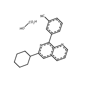 N#Cc1cccc(-c2nc(C3CCCCC3)cc3cccnc23)c1.O=C(O)O